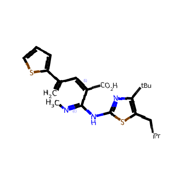 C=C(/C=C(C(=O)O)\C(=N/C)Nc1nc(C(C)(C)C)c(CC(C)C)s1)c1cccs1